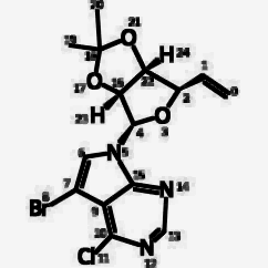 C=C[C@H]1O[C@@H](n2cc(Br)c3c(Cl)ncnc32)[C@@H]2OC(C)(C)O[C@@H]21